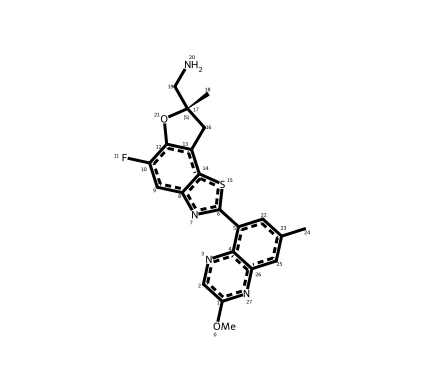 COc1cnc2c(-c3nc4cc(F)c5c(c4s3)C[C@@](C)(CN)O5)cc(C)cc2n1